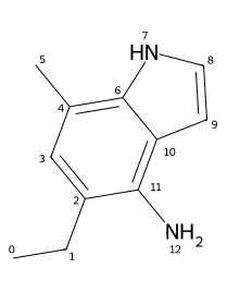 CCc1cc(C)c2[nH]ccc2c1N